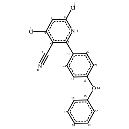 N#Cc1c(Cl)cc(Cl)nc1-c1ccc(Oc2ccccc2)cc1